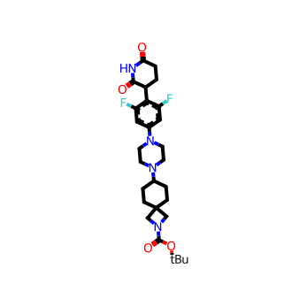 CC(C)(C)OC(=O)N1CC2(CCC(N3CCN(c4cc(F)c(C5CCC(=O)NC5=O)c(F)c4)CC3)CC2)C1